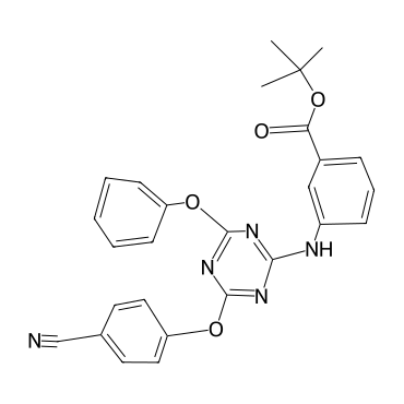 CC(C)(C)OC(=O)c1cccc(Nc2nc(Oc3ccccc3)nc(Oc3ccc(C#N)cc3)n2)c1